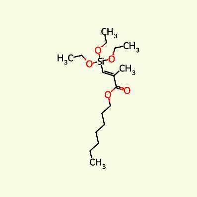 CCCCCCCOC(=O)C(C)=C[Si](OCC)(OCC)OCC